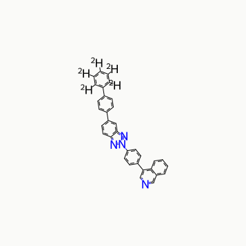 [2H]c1c([2H])c([2H])c(-c2ccc(-c3ccc4nn(-c5ccc(-c6cncc7ccccc67)cc5)nc4c3)cc2)c([2H])c1[2H]